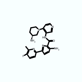 Cc1nc(-c2ccc(N)c(C(=O)Nc3cnccc3N3CCC[C@H](N)C3)n2)ccc1F